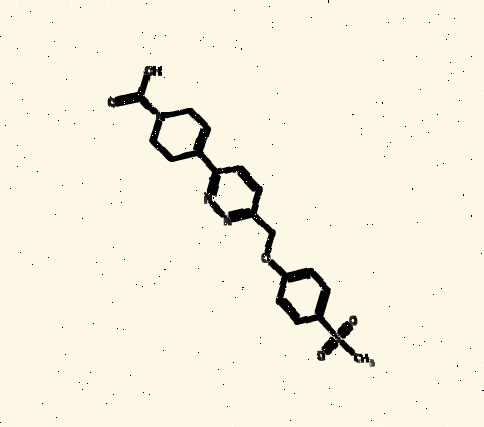 CS(=O)(=O)c1ccc(OCc2ccc(C3=CCN(C(=O)O)CC3)nn2)cc1